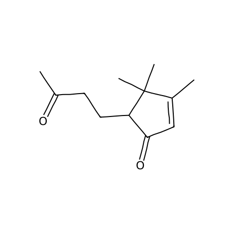 CC(=O)CCC1C(=O)C=C(C)C1(C)C